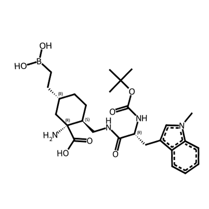 Cn1cc(C[C@@H](NC(=O)OC(C)(C)C)C(=O)NC[C@@H]2CC[C@@H](CCB(O)O)C[C@]2(N)C(=O)O)c2ccccc21